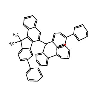 CC1(C)c2ccc(-c3ccccc3)cc2-c2c(N(c3ccc(-c4ccccc4)cc3)c3ccccc3-c3ccccc3)cc3ccccc3c21